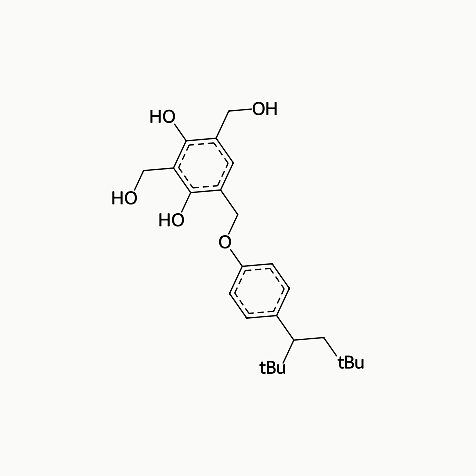 CC(C)(C)CC(c1ccc(OCc2cc(CO)c(O)c(CO)c2O)cc1)C(C)(C)C